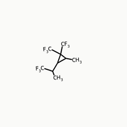 CC(C1C(C)C1(C(F)(F)F)C(F)(F)F)C(F)(F)F